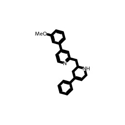 COc1cccc(-c2ccnc(CC3CC(c4ccccc4)=CCN3)c2)c1